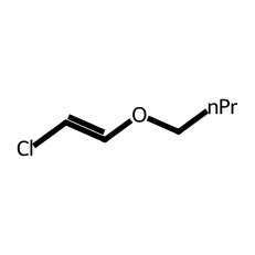 CCCCOC=CCl